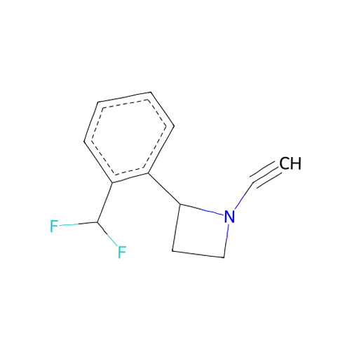 C#CN1CCC1c1ccccc1C(F)F